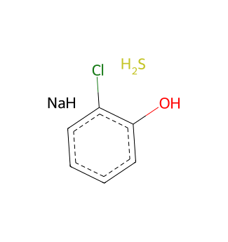 Oc1ccccc1Cl.S.[NaH]